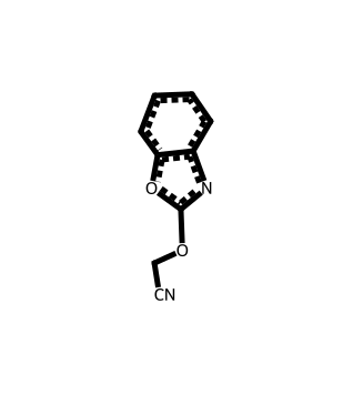 N#CCOc1nc2ccccc2o1